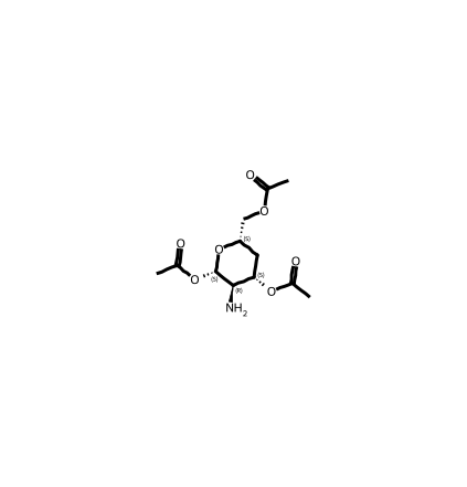 CC(=O)OC[C@@H]1C[C@H](OC(C)=O)[C@@H](N)[C@H](OC(C)=O)O1